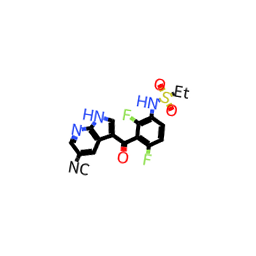 [C-]#[N+]c1cnc2[nH]cc(C(=O)c3c(F)ccc(NS(=O)(=O)CC)c3F)c2c1